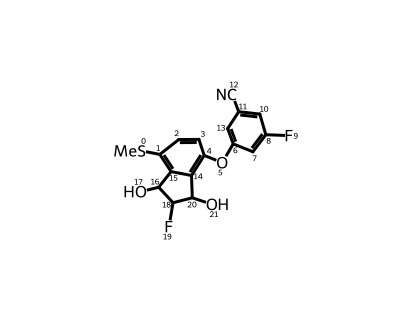 CSc1ccc(Oc2cc(F)cc(C#N)c2)c2c1C(O)C(F)C2O